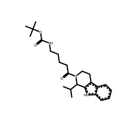 CC(C)C1c2[nH]c3ccccc3c2CCN1C(=O)CCCCNC(=O)OC(C)(C)C